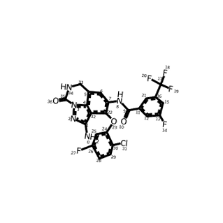 Nc1nn2c3c(cc(NC(=O)c4cc(F)cc(C(F)(F)F)c4)c(Oc4cc(F)ccc4Cl)c13)CNC2=O